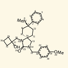 CN[C@]1(c2ccccc2)CC[C@]2(CC1)CN(Cc1ccc(OC)cc1)C(=O)N2CC1(O)CCC1